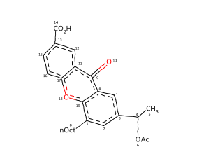 CCCCCCCCc1cc(C(C)OC(C)=O)cc2c(=O)c3cc(C(=O)O)ccc3oc12